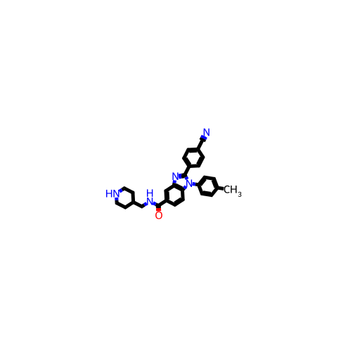 Cc1ccc(-n2c(-c3ccc(C#N)cc3)nc3cc(C(=O)NCC4CCNCC4)ccc32)cc1